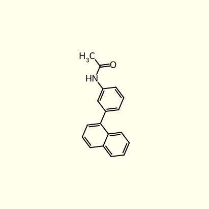 CC(=O)Nc1cccc(-c2cccc3ccccc23)c1